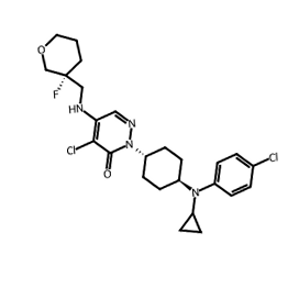 O=c1c(Cl)c(NC[C@]2(F)CCCOC2)cnn1[C@H]1CC[C@H](N(c2ccc(Cl)cc2)C2CC2)CC1